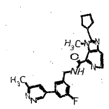 Cc1cc(-c2cc(F)cc(CNC(=O)c3nccc4nc(C5CCCC5)n(C)c34)c2)cnn1